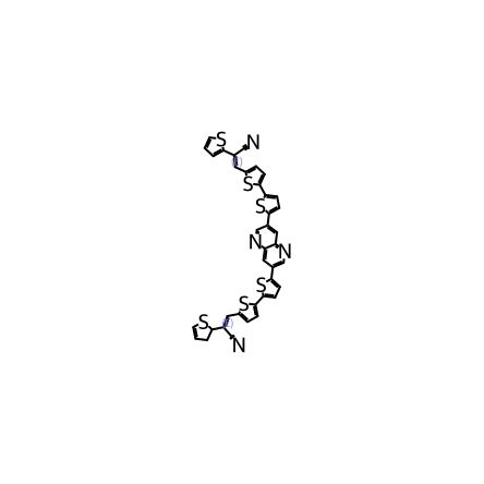 N#C/C(=C\c1ccc(-c2ccc(-c3cnc4cc(-c5ccc(-c6ccc(/C=C(\C#N)C7CC=CS7)s6)s5)cnc4c3)s2)s1)c1cccs1